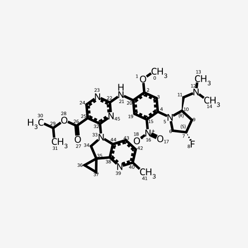 COc1cc(N2C[C@@H](F)C[C@@H]2CN(C)C)c([N+](=O)[O-])cc1Nc1ncc(C(=O)OC(C)C)c(N2CC3(CC3)c3nc(C)ccc32)n1